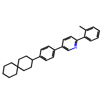 Cc1ccccc1-c1ccc(-c2ccc(C3CCC4(CCCCC4)CC3)cc2)cn1